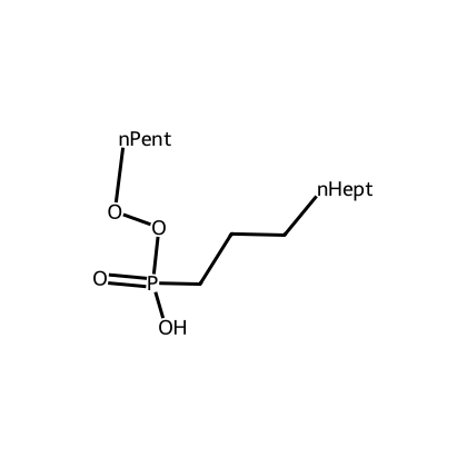 CCCCCCCCCCP(=O)(O)OOCCCCC